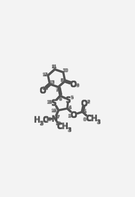 CC(=O)OC1SC(=C2C(=O)CCCC2=O)SC1N(C)C